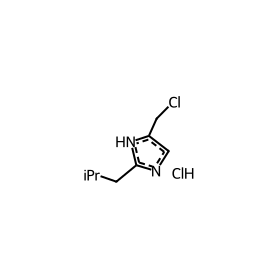 CC(C)Cc1ncc(CCl)[nH]1.Cl